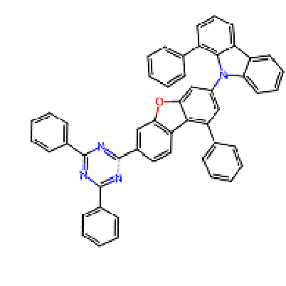 c1ccc(-c2nc(-c3ccccc3)nc(-c3ccc4c(c3)oc3cc(-n5c6ccccc6c6cccc(-c7ccccc7)c65)cc(-c5ccccc5)c34)n2)cc1